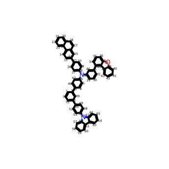 c1cc(-c2ccc(N(c3ccc(-c4ccc5c(ccc6ccccc65)c4)cc3)c3cccc(-c4cccc5oc6ccccc6c45)c3)cc2)cc(-c2ccc(-n3c4ccccc4c4ccccc43)cc2)c1